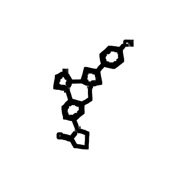 N#Cc1ccc(-c2cc3n(c2)Cc2cc(N4CCCC4=O)ccc2-n2ccnc2-3)cc1